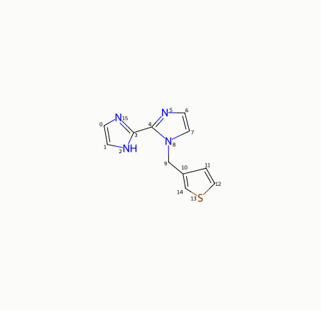 c1c[nH]c(-c2nccn2Cc2ccsc2)n1